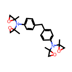 CC1(N(c2ccc(Cc3ccc(N(C4(C)CO4)C4(C)CO4)cc3)cc2)C2(C)CO2)CO1